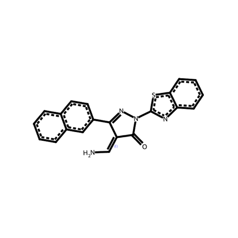 N/C=C1/C(=O)N(c2nc3ccccc3s2)N=C1c1ccc2ccccc2c1